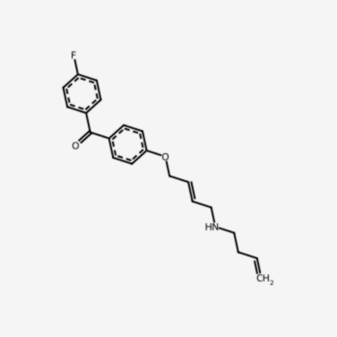 C=CCCNCC=CCOc1ccc(C(=O)c2ccc(F)cc2)cc1